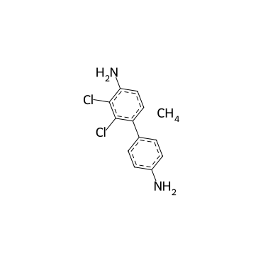 C.Nc1ccc(-c2ccc(N)c(Cl)c2Cl)cc1